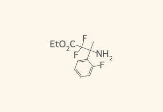 CCOC(=O)C(F)(F)C(C)(N)c1ccccc1F